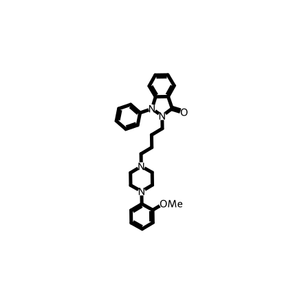 COc1ccccc1N1CCN(CCCCn2c(=O)c3ccccc3n2-c2ccccc2)CC1